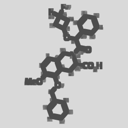 COc1ccc2c(c1OCc1ccccc1)C[C@H](C(=O)O)N(C(=O)C(OC1CC(F)(F)C1)c1ccccc1)C2